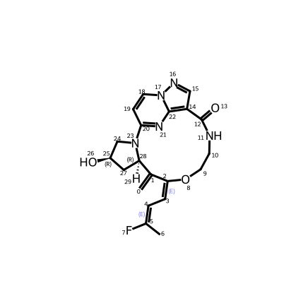 C=C1/C(=C\C=C(/C)F)OCCNC(=O)c2cnn3ccc(nc23)N2C[C@H](O)C[C@H]12